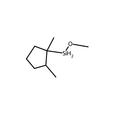 CO[SiH2]C1(C)CCCC1C